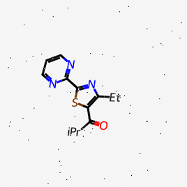 CCc1nc(-c2ncccn2)sc1C(=O)C(C)C